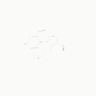 COC(=O)c1sc2ccc3nc(C)ccc3c2c1OS(=O)(=O)C(F)(F)F